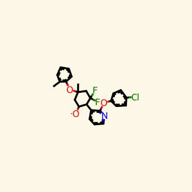 Cc1ccccc1OC1(C)CC([O])C(c2cccnc2Oc2ccc(Cl)cc2)C(F)(F)C1